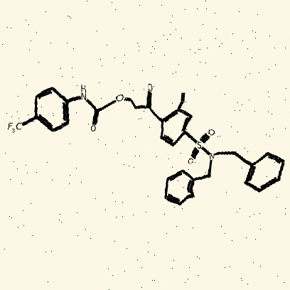 Cc1cc(S(=O)(=O)N(Cc2ccccc2)Cc2ccccc2)ccc1C(=O)COC(=O)Nc1ccc(C(F)(F)F)cc1